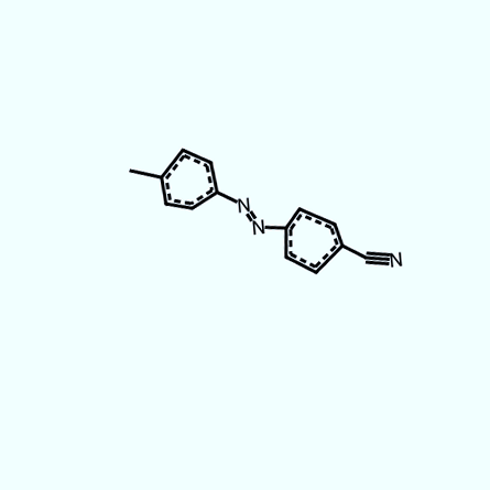 Cc1ccc(/N=N/c2ccc(C#N)cc2)cc1